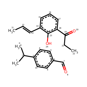 CC(C)c1ccc(C=O)cc1.CC=Cc1cccc(C(=O)CC)c1O